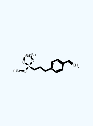 C=Cc1ccc(CCC[Si](OCCCC)(OCCCC)OCCCC)cc1